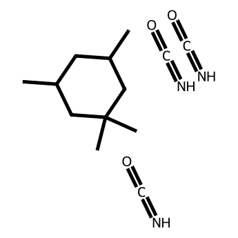 CC1CC(C)CC(C)(C)C1.N=C=O.N=C=O.N=C=O